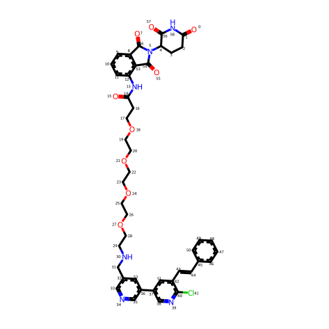 O=C1CCC(N2C(=O)c3cccc(NC(=O)CCOCCOCCOCCOCCNCc4cncc(-c5cnc(Cl)c(/C=C/c6ccccc6)c5)c4)c3C2=O)C(=O)N1